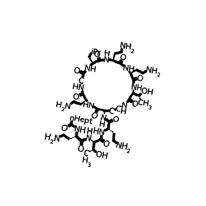 CCCCCCCC(=O)N[C@@H](CCN)C(=O)N[C@H](C(=O)N[C@@H](CCN)C(=O)N[C@H]1CCNC(=O)[C@H]([C@@H](C)O)NC(=O)[C@H](CCN)NC(=O)[C@H](CCN)NC(=O)[C@H](CC(C)C)NC(=O)CNC(=O)[C@H](CCN)NC1=O)[C@@H](C)O